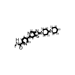 CNC(=O)c1ccc(-c2cc3sc(N4CCC(N5CCCCC5)CC4)nc3cn2)cn1